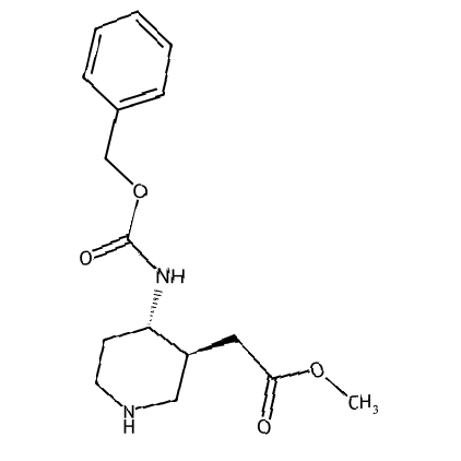 COC(=O)C[C@H]1CNCC[C@@H]1NC(=O)OCc1ccccc1